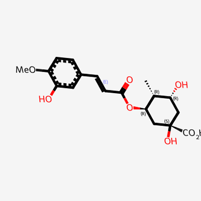 COc1ccc(/C=C/C(=O)O[C@@H]2C[C@](O)(C(=O)O)C[C@@H](O)[C@H]2C)cc1O